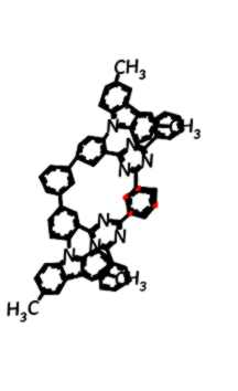 Cc1ccc2c(c1)c1cc(C)ccc1n2-c1ccc(-c2cccc(-c3ccc(-n4c5ccc(C)cc5c5cc(C)ccc54)c(-c4nc(-c5ccccc5)nc(-c5ccccc5)n4)c3)c2)cc1-c1nc(-c2ccccc2)nc(-c2ccccc2)n1